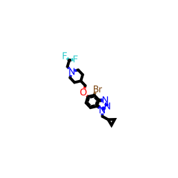 FC(F)CN1CCC(COc2ccc3c(nnn3CC3CC3)c2Br)CC1